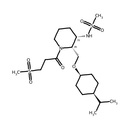 CC(C)[C@H]1CC[C@@H](OC[C@H]2[C@@H](NS(C)(=O)=O)CCCN2C(=O)CCS(C)(=O)=O)CC1